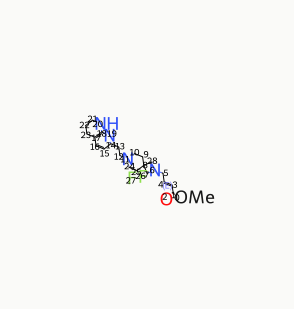 COC(=O)/C=C/CN1CC2(CCN(CCc3ccc4c(n3)NCCC4)CC2(F)F)C1